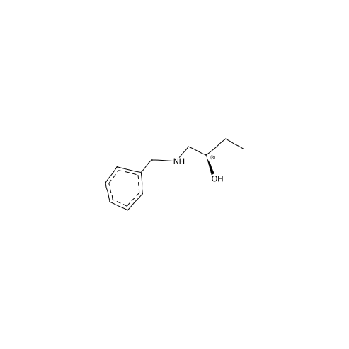 CC[C@@H](O)CNCc1ccccc1